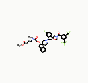 COC(=O)CCCN(C)C(=O)CO[C@H]1Cc2ccccc2C12CCN(CC[C@]1(c3ccc(F)cc3)CN(C(=O)c3cc(C(F)(F)F)cc(C(F)(F)F)c3)CO1)CC2